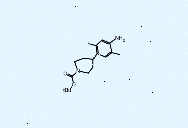 Cc1cc(C2CCN(C(=O)OC(C)(C)C)CC2)c(F)cc1N